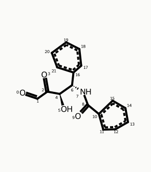 O=CC(=O)[C@H](O)[C@@H](NC(=O)c1ccccc1)c1ccccc1